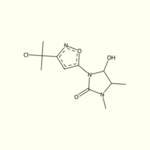 CC1C(O)N(c2cc(C(C)(C)Cl)no2)C(=O)N1C